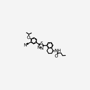 CCCC(=O)N[C@@H]1CCCc2c(-c3nnc(-c4ccc(OC(C)C)c(C#N)c4)s3)cccc21